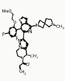 C=CC(=O)N1CCn2nc(-c3nc(N4CC5(CCN(C)C5)C4)c4ccsc4c3-c3c(F)cc(F)cc3OCCOC)cc2[C@H]1C